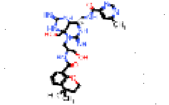 Cc1cc(C(=O)NC[C@@H]2NC(=N)N(CC(CO)NC(=O)c3cccc4c3OCCC4(C)C)C3(CO)NC(=N)NC23)ncn1